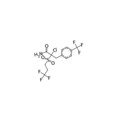 NC(=O)C(Cl)(Cc1ccc(C(F)(F)F)cc1)S(=O)(=O)CCC(F)(F)F